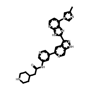 Cc1cn(-c2ccnc3[nH]c(-c4n[nH]c5cnc(-c6cncc(NC(=O)CC7CCNCC7)c6)cc45)nc23)cn1